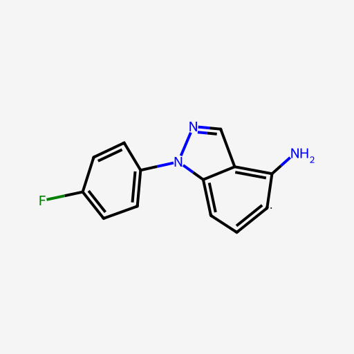 Nc1[c]ccc2c1cnn2-c1ccc(F)cc1